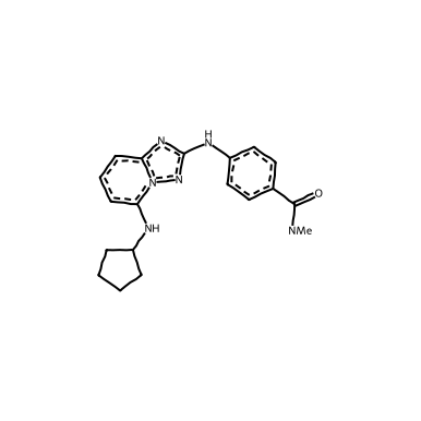 CNC(=O)c1ccc(Nc2nc3cccc(NC4CCCC4)n3n2)cc1